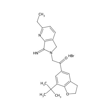 Br.CCc1ccc2c(n1)C(=N)N(CC(=O)c1cc3c(c(C(C)(C)C)c1)OCC3)C2